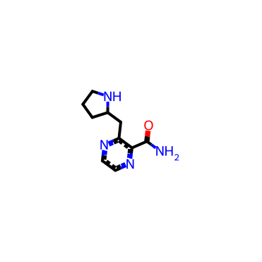 NC(=O)c1nccnc1CC1CCCN1